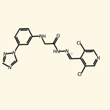 O=C(CNc1cccc(-n2cncn2)c1)N/N=C/c1c(Cl)cncc1Cl